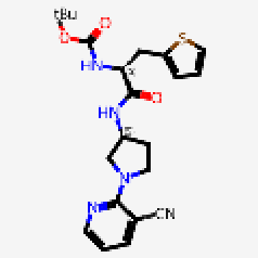 CC(C)(C)OC(=O)N[C@@H](Cc1cccs1)C(=O)N[C@H]1CCN(c2ncccc2C#N)C1